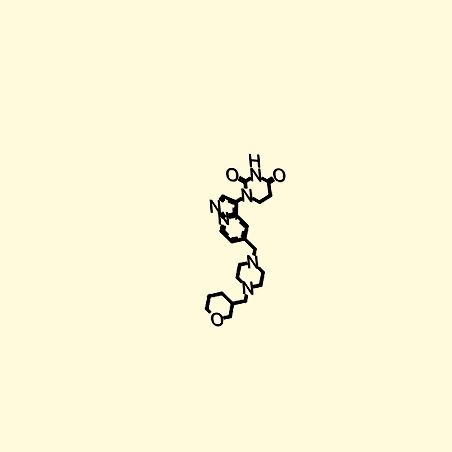 O=C1CCN(c2cnn3ccc(CN4CCN(CC5CCCOC5)CC4)cc23)C(=O)N1